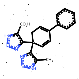 Cc1[nH]nnc1C1(c2nn[nH]c2C(=O)O)C=CC(c2ccccc2)=CC1